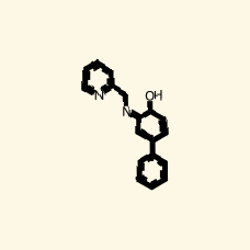 OC1C=CC(c2ccccc2)=CC1=NCc1ccccn1